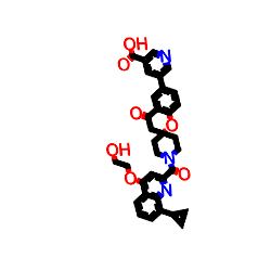 O=C(O)c1cncc(-c2ccc3c(c2)C(=O)CC2(CCN(C(=O)c4cc(OCCO)c5cccc(C6CC6)c5n4)CC2)O3)c1